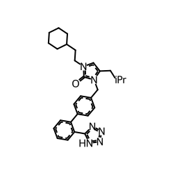 CC(C)Cc1cn(CCC2CCCCC2)c(=O)n1Cc1ccc(-c2ccccc2-c2nnn[nH]2)cc1